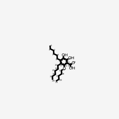 CCCCCCc1c(O)c(O)c(C(=O)O)c(OCCCCC)c1CCCCCC